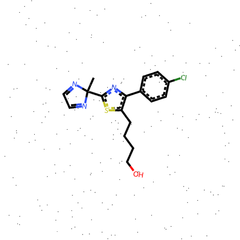 CC1(c2nc(-c3ccc(Cl)cc3)c(CCCCO)s2)N=CC=N1